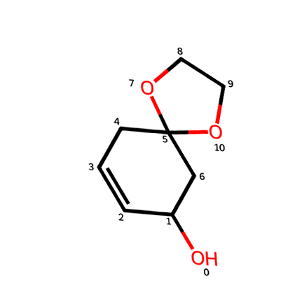 OC1C=CCC2(C1)OCCO2